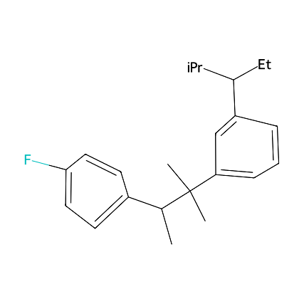 CCC(c1cccc(C(C)(C)C(C)c2ccc(F)cc2)c1)C(C)C